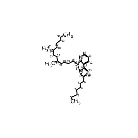 CCCCCCCc1cnc(-c2cccnc2[SiH2]CCCCC(C)CCC(C)CCCCC)cn1